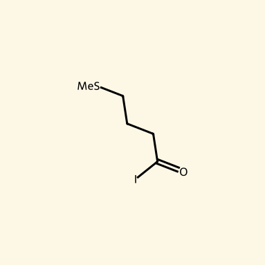 CSCCCC(=O)I